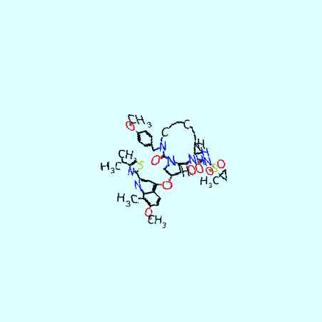 COc1ccc(CN2CCCCCCC[C@@H]3C[C@@]3(C(=O)NS(=O)(=O)C3(C)CC3)NC(=O)[C@@H]3C[C@@H](Oc4cc(-c5nc(C(C)C)cs5)nc5c(C)c(OC)ccc45)CN3C2=O)cc1